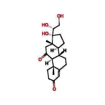 C[C@]12CCC(=O)C=C1CC[C@@H]1[C@@H]2C(=O)C[C@@]2(C)[C@H]1CC[C@]2(O)[C@H](O)CO